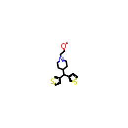 COCCN1CCC(C(c2ccsc2)c2ccsc2)CC1